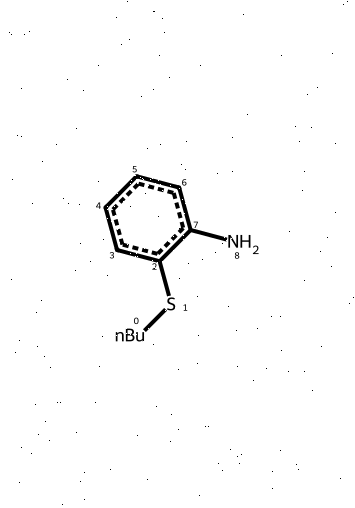 [CH2]CCCSc1ccccc1N